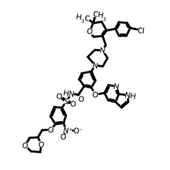 CC1(C)CC(c2ccc(Cl)cc2)=C(CN2CCN(c3ccc(C(=O)NS(=O)(=O)c4ccc(OCC5COCCO5)c([N+](=O)[O-])c4)c(Oc4cnc5[nH]ccc5c4)c3)CC2)CO1